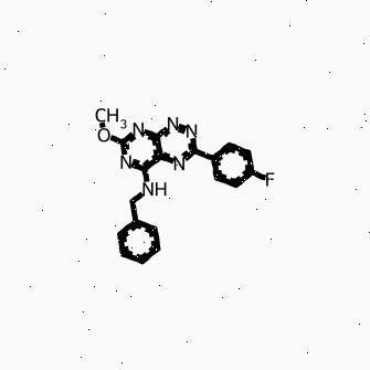 COc1nc(NCc2ccccc2)c2nc(-c3ccc(F)cc3)nnc2n1